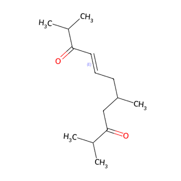 CC(C/C=C/C(=O)C(C)C)CC(=O)C(C)C